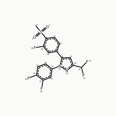 CS(=O)(=O)c1ccc(-c2cc(C(F)F)nn2-c2ccc(F)c(F)c2)cc1F